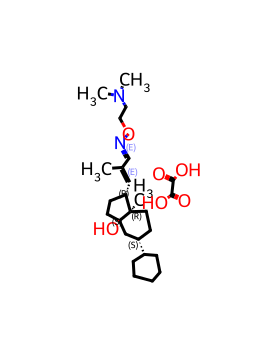 CC(/C=N/OCCN(C)C)=C\[C@H]1CC[C@]2(O)C[C@@H](C3CCCCC3)CC[C@]12C.O=C(O)C(=O)O